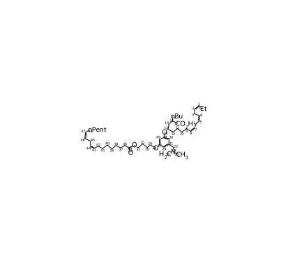 CC/C=C\C/C=C\C/C=C\CCCCC(CC(CCCC)C(=O)O)Oc1cc(CN(C)C)cc(OCCCCOC(=O)CCCCCCC/C=C\C/C=C\CCCCC)c1